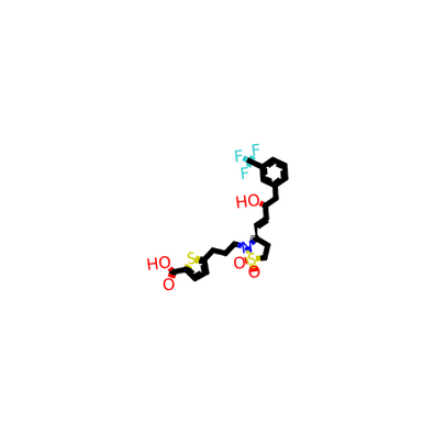 O=C(O)c1ccc(CCCN2[C@@H](C=CC(O)Cc3cccc(C(F)(F)F)c3)CCS2(=O)=O)s1